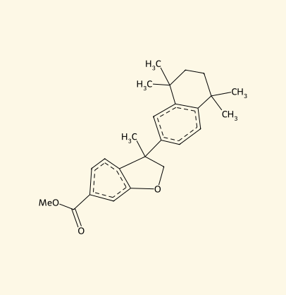 COC(=O)c1ccc2c(c1)OCC2(C)c1ccc2c(c1)C(C)(C)CCC2(C)C